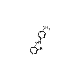 Nc1ccc(N=Nc2ccccc2Br)cc1